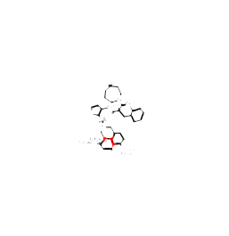 COc1ccc(CN(Cc2ccc(OC)cc2OC)S(=O)(=O)c2sccc2NC(=O)c2cc3ccccc3nc2N2CCCC(F)(F)CC2)c(OC)c1